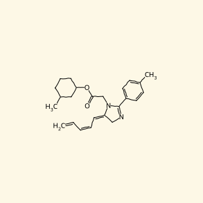 C=C/C=C\C=C1/CN=C(c2ccc(C)cc2)N1CC(=O)OC1CCCC(C)C1